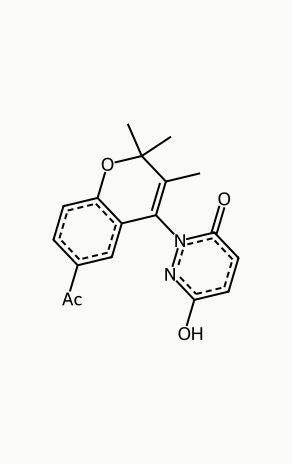 CC(=O)c1ccc2c(c1)C(n1nc(O)ccc1=O)=C(C)C(C)(C)O2